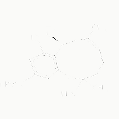 CCCCCc1cc(O)c2c(c1)OC(C)(C)CC/C=C(/C)C[C@@H]2C